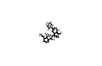 COc1c(C#N)cccc1C(C)Nc1nnc(C)c2cnc(N3CCOCC3)cc12